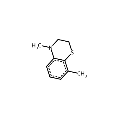 Cc1cccc2c1SCCN2C